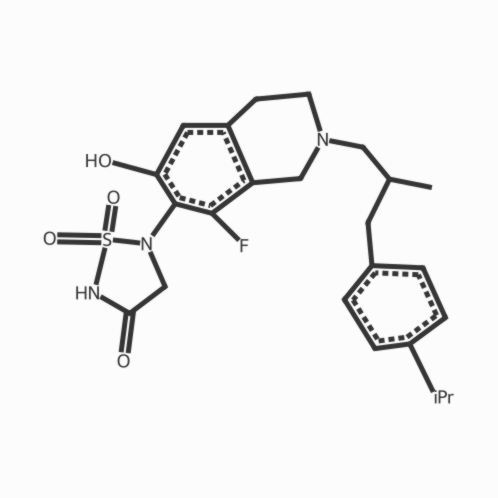 CC(Cc1ccc(C(C)C)cc1)CN1CCc2cc(O)c(N3CC(=O)NS3(=O)=O)c(F)c2C1